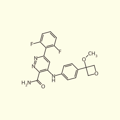 COC1(c2ccc(Nc3cc(-c4c(F)cccc4F)nnc3C(N)=O)cc2)COC1